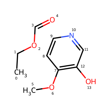 CCOC=O.COc1ccncc1O